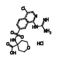 Cl.N=C(N)Nc1ncc(Cl)c2ccc(S(=O)(=O)NC3(C(=O)O)CCOCC3)cc12